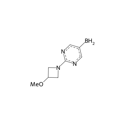 Bc1cnc(N2CC(OC)C2)nc1